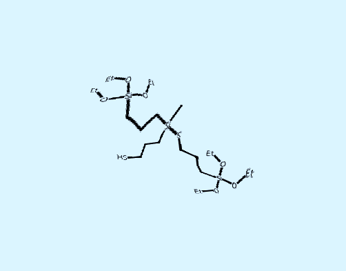 CCO[Si](CCCS[Si](C)(CCCS)CCC[Si](OCC)(OCC)OCC)(OCC)OCC